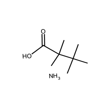 CC(C)(C)C(C)(C)C(=O)O.N